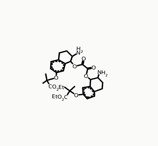 CCOC(=O)C(C)(C)Oc1ccc2c(c1)C(OC(=O)C(=O)OC1c3cc(OC(C)(C)C(=O)OCC)ccc3CCC1N)C(N)CC2